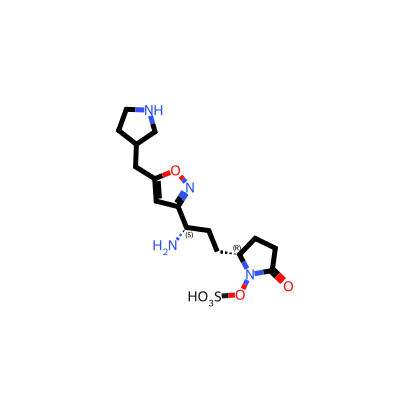 N[C@@H](CC[C@@H]1CCC(=O)N1OS(=O)(=O)O)c1cc(CC2CCNC2)on1